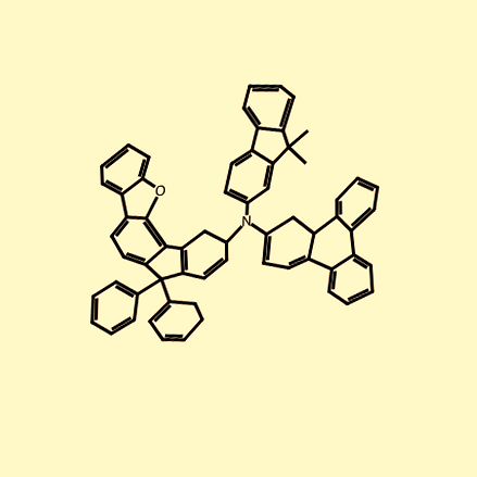 CC1(C)c2ccccc2-c2ccc(N(C3=CC=C4c5ccccc5-c5ccccc5C4C3)C3C=CC4=C(C3)c3c(ccc5c3oc3ccccc35)C4(C3=CC=CCC3)c3ccccc3)cc21